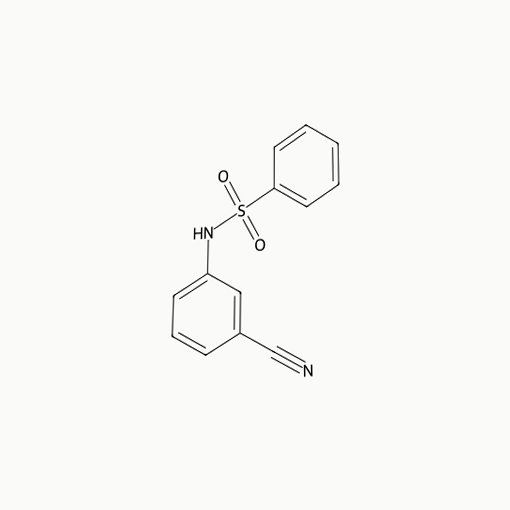 N#Cc1cccc(NS(=O)(=O)c2ccccc2)c1